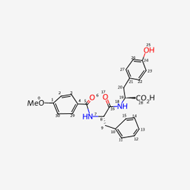 COc1ccc(C(=O)N[C@@H](Cc2ccccc2)C(=O)N[C@@H](Cc2ccc(O)cc2)C(=O)O)cc1